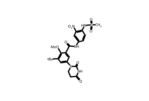 COc1c(C(=O)Nc2ccc(NS(C)(=O)=O)c([N+](=O)[O-])c2)cc(N2CCC(=O)NC2=O)cc1C(C)(C)C